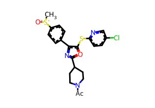 CC(=O)N1CCC(c2nc(-c3ccc([S+](C)[O-])cc3)c(Sc3ccc(Cl)cn3)o2)CC1